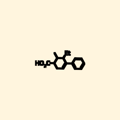 CCC1C(c2ccccc2)=CCC(C(=O)O)C1C